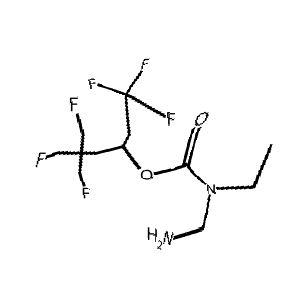 CCN(CN)C(=O)OC(C(F)(F)F)C(F)(F)F